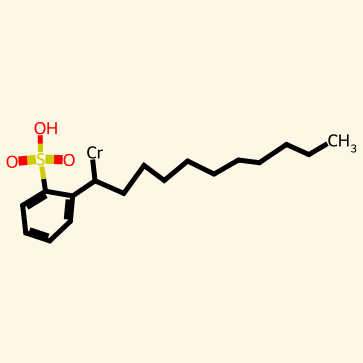 CCCCCCCCCC[CH]([Cr])c1ccccc1S(=O)(=O)O